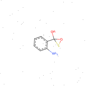 Nc1ccccc1C1(O)OS1